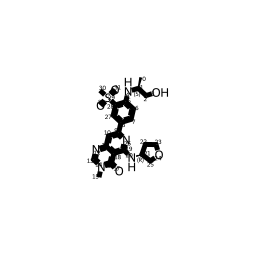 C[C@@H](CO)Nc1ccc(-c2cc3ncn(C)c(=O)c3c(N[C@@H]3CCOC3)n2)cc1S(C)(=O)=O